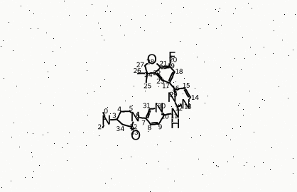 CN(C)C1CCN(c2ccc(Nc3nccc(-c4cc(F)c5c(c4)C(C)(C)CO5)n3)nc2)C(=O)C1